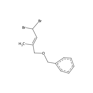 CC(=CC(Br)Br)COCc1ccccc1